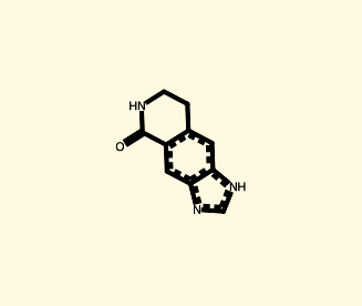 O=C1NCCc2cc3[nH]cnc3cc21